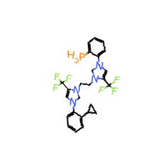 FC(F)(F)C1=CN(c2ccccc2P)CN1CCN1CN(c2ccccc2C2CC2)C=C1C(F)(F)F